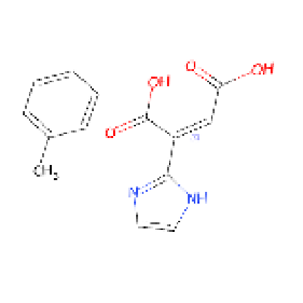 Cc1ccccc1.O=C(O)/C=C(\C(=O)O)c1ncc[nH]1